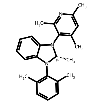 Cc1cc(C)c(N2c3ccccc3N(c3c(C)cccc3C)[C@H]2C)c(C)n1